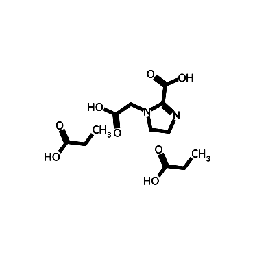 CCC(=O)O.CCC(=O)O.O=C(O)CN1CCN=C1C(=O)O